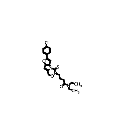 CCN(CC)C(=O)CCCN1OCc2cc3oc(-c4ccc(Cl)cc4)cc3n2C1=S